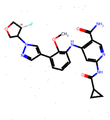 COc1c(Nc2cc(NC(=O)C3CC3)ncc2C(N)=O)cccc1-c1cnn(C2COC[C@@H]2F)c1